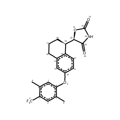 Cc1cc(C(F)(F)F)c(C)cc1Oc1ccc2c(c1)CCC[C@H]2[C@H]1OC(=O)NC1=O